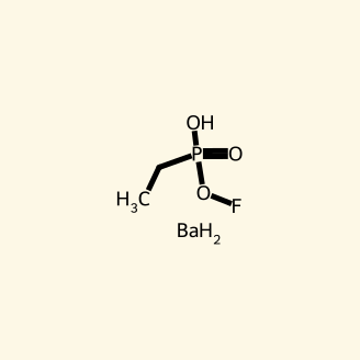 CCP(=O)(O)OF.[BaH2]